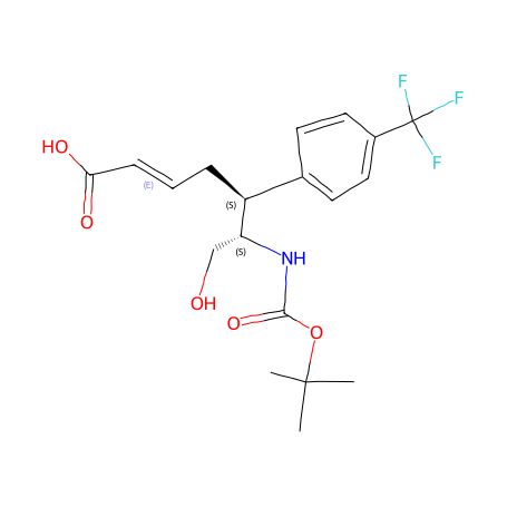 CC(C)(C)OC(=O)N[C@H](CO)[C@@H](C/C=C/C(=O)O)c1ccc(C(F)(F)F)cc1